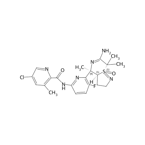 Cc1cc(Cl)cnc1C(=O)Nc1ccc(F)c([C@@]2(C)N=C(N)C(C)(C)[S@]3(=O)=NCC[C@@H]23)n1